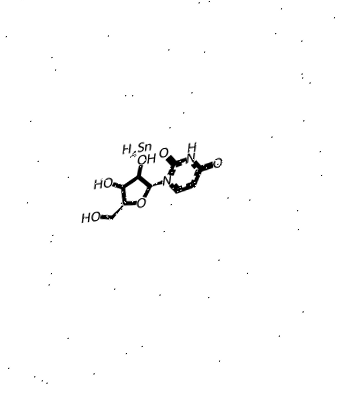 O=c1ccn([C@H]2O[C@@H](CO)C(O)C2O)c(=O)[nH]1.[SnH4]